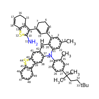 Cc1cc(C2=CCCC(c3c(N)sc4c3CCC=C4)=C2)c2c(c1)N(c1ccc(C(C)(C)CCC(C)(C)C)cc1C)c1cc3c(cc1B2)sc1ccccc13